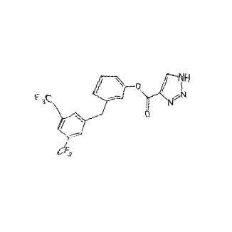 O=C(Oc1cccc(Cc2cc(C(F)(F)F)cc(C(F)(F)F)c2)c1)c1c[nH]nn1